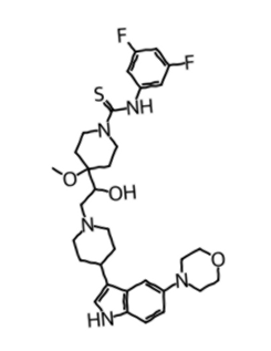 COC1(C(O)CN2CCC(c3c[nH]c4ccc(N5CCOCC5)cc34)CC2)CCN(C(=S)Nc2cc(F)cc(F)c2)CC1